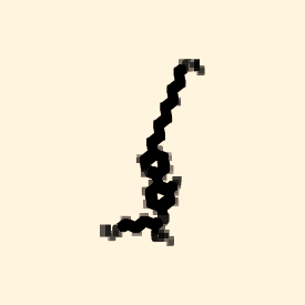 CCCCCCCCCCc1ccc(-c2ccc(O[C@@H](C)CCCC)cc2F)nc1